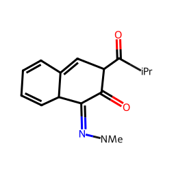 CN/N=C1\C(=O)C(C(=O)C(C)C)C=C2C=CC=CC21